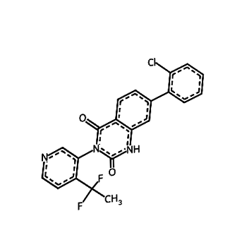 CC(F)(F)c1ccncc1-n1c(=O)[nH]c2cc(-c3ccccc3Cl)ccc2c1=O